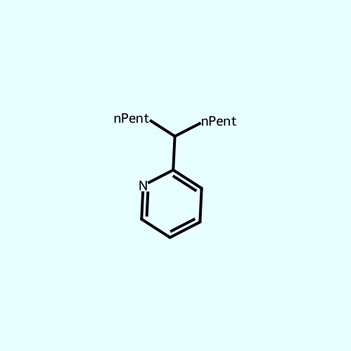 CCCCCC(CCCCC)c1ccccn1